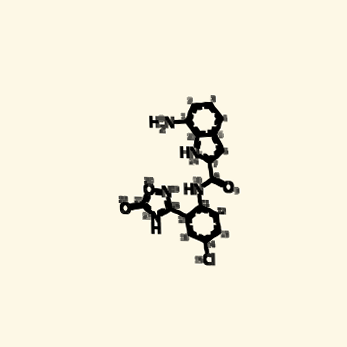 Nc1cccc2cc(C(=O)Nc3ccc(Cl)cc3-c3noc(=O)[nH]3)[nH]c12